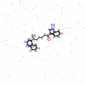 CCC(CCCCC(=O)c1c[nH]c2ccccc12)c1ccnc2ccccc12